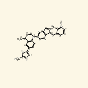 Cc1nnc(-c2ccc3c(c2)C(N)N=CN3c2ccc3c(cnn3Cc3cccc(F)c3F)c2)o1